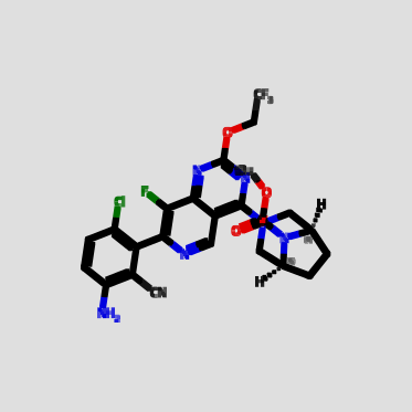 CC(C)(C)OC(=O)N1[C@@H]2CC[C@H]1CN(c1nc(OCC(F)(F)F)nc3c(F)c(-c4c(Cl)ccc(N)c4C#N)ncc13)C2